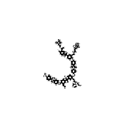 C=C(SCCS(=O)(=O)O)c1cc(C(C)(C)c2ccc(Oc3ccc(S(=O)(=O)c4ccc(Oc5ccc(C(C)(C)c6ccc(Oc7ccc(S(=O)(=O)c8ccc(OC)cc8)cc7)c(CC)c6)cc5CCC[Si](CC)(CC)CC)cc4)cc3)c(CSCCCS(=O)(=O)O)c2)ccc1C